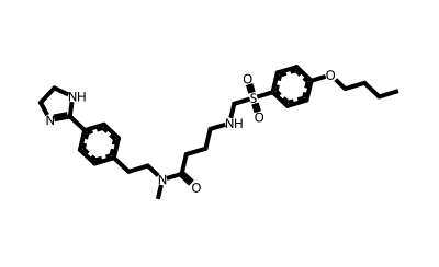 CCCCOc1ccc(S(=O)(=O)CNCCCC(=O)N(C)CCc2ccc(C3=NCCN3)cc2)cc1